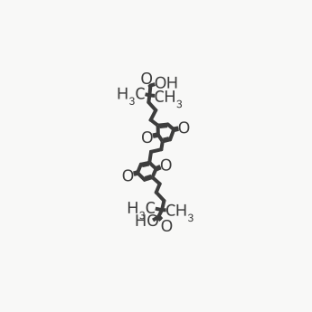 CC(C)(CCCC1=CC(=O)C=C(CCC2=CC(=O)C=C(CCCC(C)(C)C(=O)O)C2=O)C1=O)C(=O)O